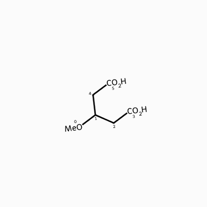 COC(CC(=O)O)CC(=O)O